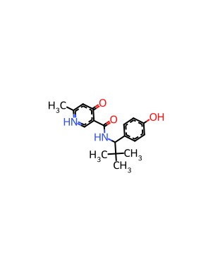 Cc1cc(=O)c(C(=O)NC(c2ccc(O)cc2)C(C)(C)C)c[nH]1